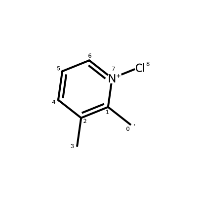 [CH2]c1c(C)ccc[n+]1Cl